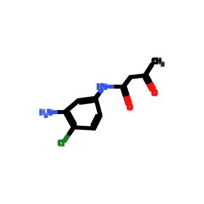 CC(=O)CC(=O)Nc1ccc(Cl)c(N)c1